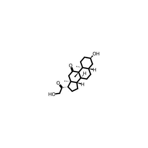 C[C@]12CC(=O)[C@@]3(C)[C@@H](CC[C@H]4C[C@H](O)CC[C@@]43C)[C@@H]1CC[C@@H]2C(=O)CO